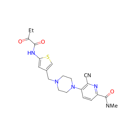 CCC(=O)C(=O)Nc1cc(CN2CCN(c3ccc(C(=O)NC)nc3C#N)CC2)cs1